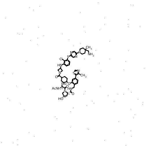 CC(=O)N[C@H](C(=O)N1C[C@H](O)C[C@H]1C(=O)NCc1ccc(-c2scnc2C)cc1OC1CCC(C(=O)N2CC(Nc3cccc(Sc4cnc(N5CCC(C)(CN)CC5)cn4)c3Cl)C2)CC1)C(C)(C)C